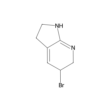 BrC1C=C2CCNC2=NC1